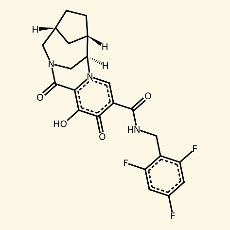 O=C(NCc1c(F)cc(F)cc1F)c1cn2c(c(O)c1=O)C(=O)N1C[C@@H]3CC[C@@H](C3)[C@@H]2C1